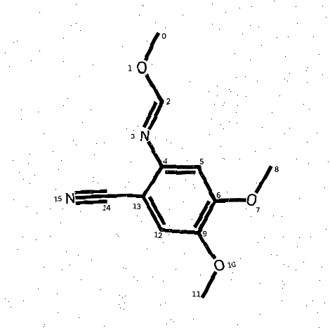 COC=Nc1cc(OC)c(OC)cc1C#N